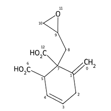 C=C1CC=CC(C(=O)O)C1(CC1CO1)C(=O)O